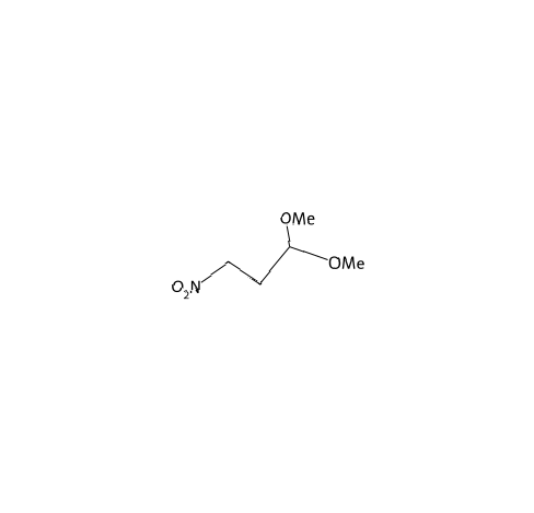 COC(CC[N+](=O)[O-])OC